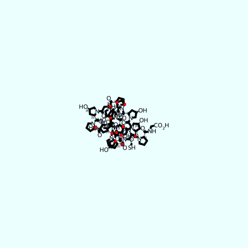 O=C(O)CNC(=O)[C@@H]1CCCN1C(=O)[C@@H]1C[C@@H](O)CN1C(=O)CNC(=O)[C@@H]1CCCN1C(=O)[C@@H]1C[C@@H](O)CN1C(=O)CNC(=O)[C@@H]1CCCN1C(=O)[C@@H]1C[C@@H](O)CN1C(=O)CNC(=O)[C@H](CS)NC(=O)[C@@H]1C[C@@H](O)CN1C(=O)CNC(=O)[C@@H]1CCCN1C(=O)[C@@H]1C[C@@H](O)CN1C(=O)CNC(=O)[C@@H]1CCCN1C(=O)[C@@H]1C[C@@H](O)CN1C(=O)CNC(=O)[C@@H]1CCCN1C(=O)[C@@H]1C[C@@H](O)CN1